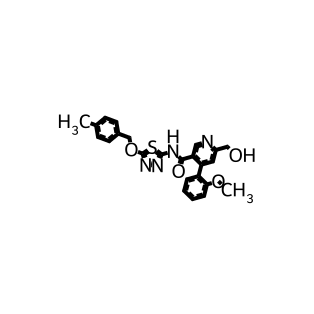 COc1ccccc1-c1cc(CO)ncc1C(=O)Nc1nnc(OCc2ccc(C)cc2)s1